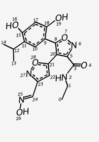 CCNC(=O)c1noc(-c2cc(C(C)C)c(O)cc2O)c1-c1cc(C=NO)no1